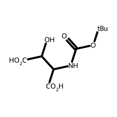 CC(C)(C)OC(=O)NC(C(=O)O)C(O)C(=O)O